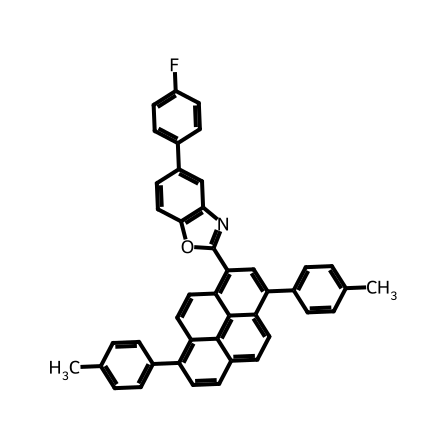 Cc1ccc(-c2ccc3ccc4c(-c5ccc(C)cc5)cc(-c5nc6cc(-c7ccc(F)cc7)ccc6o5)c5ccc2c3c45)cc1